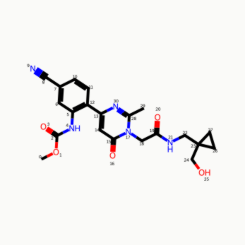 COC(=O)Nc1cc(C#N)ccc1-c1cc(=O)n(CC(=O)NCC2(CO)CC2)c(C)n1